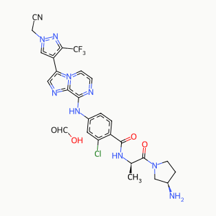 C[C@@H](NC(=O)c1ccc(Nc2nccn3c(-c4cn(CC#N)nc4C(F)(F)F)cnc23)cc1Cl)C(=O)N1CC[C@@H](N)C1.O=CO